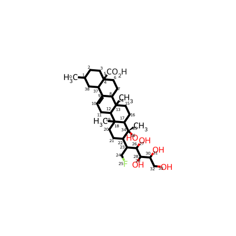 CC1CCC2(C(=O)O)CCC3C(=CCC4C3(C)CCC3C4(C)CCC(C(CF)C(O)C(O)C(O)CO)[C@@]3(C)O)C2C1